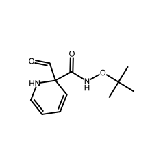 CC(C)(C)ONC(=O)C1(C=O)C=CC=CN1